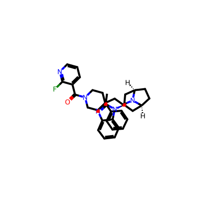 Cc1nc2ccccc2n1[C@H]1C[C@H]2CC[C@@H](C1)N2CCC1(c2ccccc2)CCN(C(=O)c2cccnc2F)CC1